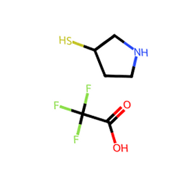 O=C(O)C(F)(F)F.SC1CCNC1